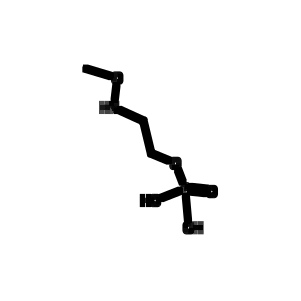 CONCCOP(=O)(O)O